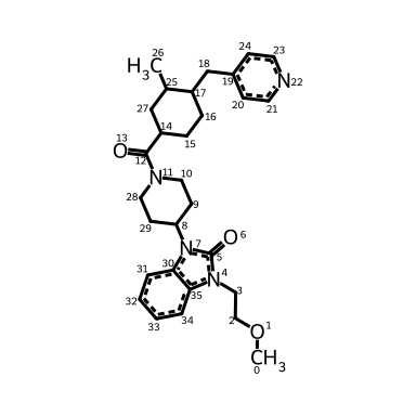 COCCn1c(=O)n(C2CCN(C(=O)C3CCC(Cc4ccncc4)C(C)C3)CC2)c2ccccc21